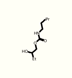 CCC(O)COC(=O)NCCC(C)C